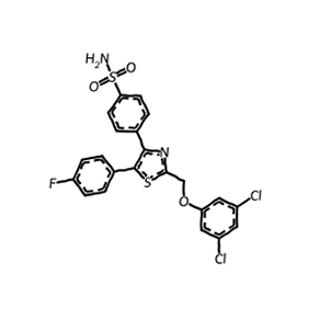 NS(=O)(=O)c1ccc(-c2nc(COc3cc(Cl)cc(Cl)c3)sc2-c2ccc(F)cc2)cc1